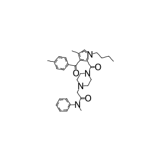 CCCCn1cc(C)c(C(=O)c2ccc(C)cc2)c1C(=O)N1CCN(CC(=O)N(C)c2ccccc2)CC1